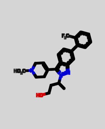 CC(CCO)n1nc2cc(-c3ccccc3C(F)(F)F)ccc2c1C1=CCN(C(=O)O)CC1